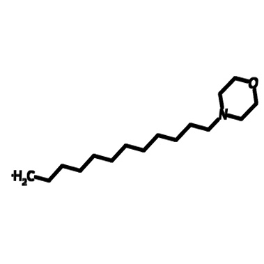 [CH2]CCCCCCCCCCCN1CCOCC1